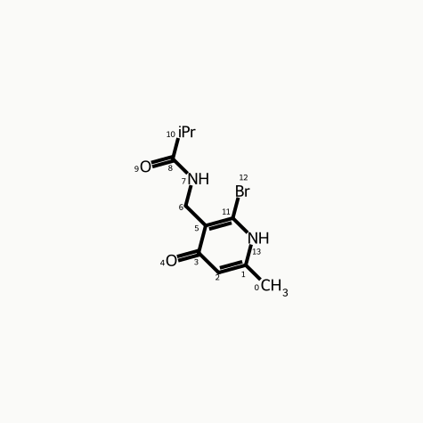 Cc1cc(=O)c(CNC(=O)C(C)C)c(Br)[nH]1